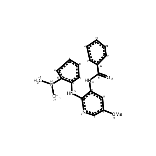 COc1cnc(Nc2ccccc2N(C)C)c(NC(=O)c2ccccc2)c1